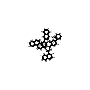 C1=Cc2c(sc3c(-n4c5ccccc5c5cc6ccccc6cc54)c(-c4nc(-c5cccc6ccccc56)nc(C5C=Cc6c(ccc7ccccc67)C5)n4)ccc23)CC1